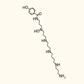 NCCCNCCCCNCCCNCCCN(O)CCCNC(=O)c1ccc(O)cc1